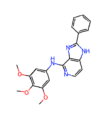 COc1cc(Nc2nccc3[nH]c(-c4ccccc4)nc23)cc(OC)c1OC